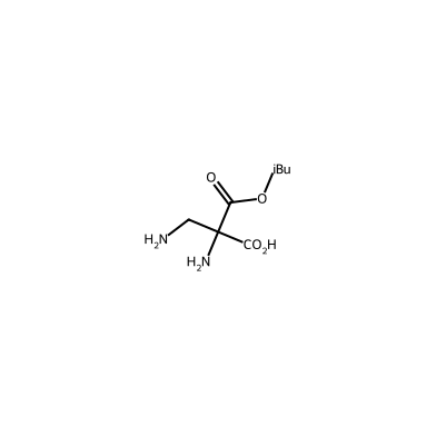 CCC(C)OC(=O)C(N)(CN)C(=O)O